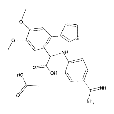 CC(=O)O.COc1cc(-c2ccsc2)c(C(Nc2ccc(C(=N)N)cc2)C(=O)O)cc1OC